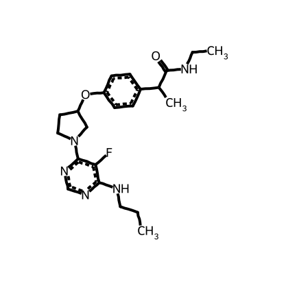 CCCNc1ncnc(N2CCC(Oc3ccc(C(C)C(=O)NCC)cc3)C2)c1F